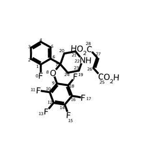 Fc1ccccc1C1(Oc2c(F)c(F)c(F)c(F)c2F)CCNCC1.O=C(O)C=CC(=O)O